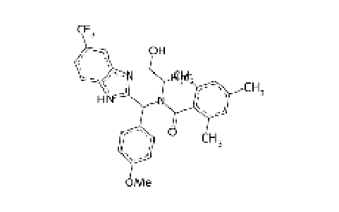 COc1ccc(C(c2nc3cc(C(F)(F)F)ccc3[nH]2)N(C(=O)c2c(C)cc(C)cc2C)C(C)CO)cc1